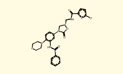 O=C(Nc1cc(N2C[C@@H](CNC(=O)c3ccc(Cl)s3)OC2=O)ccc1N1CCOCC1)c1ccccc1